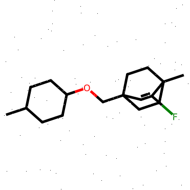 CC1CCC(OCC23C=C(F)C(C)(CC2)CC3)CC1